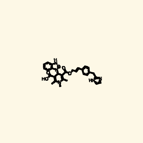 CC1=C(C(=O)O)C(N2ONc3ccccc32)C(C(=O)OCC=Cc2ccc(Cc3ncc[nH]3)cc2)=C(C)N1C